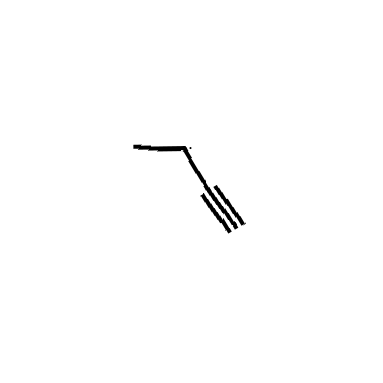 C#C[CH]C